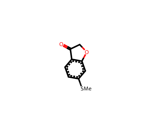 CSc1ccc2c(c1)OCC2=O